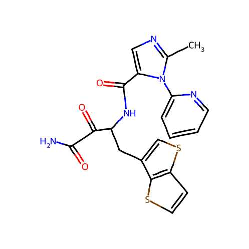 Cc1ncc(C(=O)NC(Cc2csc3ccsc23)C(=O)C(N)=O)n1-c1ccccn1